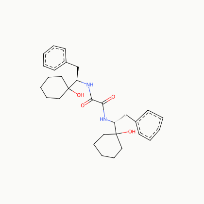 O=C(N[C@H](Cc1ccccc1)C1(O)CCCCC1)C(=O)N[C@H](Cc1ccccc1)C1(O)CCCCC1